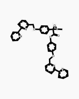 CN1OC1(C(=O)Oc1ccc(OCc2cccc(-c3ccccn3)n2)cc1)c1ccc(OCc2cccc(-c3ccccn3)n2)cc1